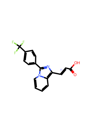 O=C(O)/C=C/c1nc(-c2ccc(C(F)(F)F)cc2)n2ccccc12